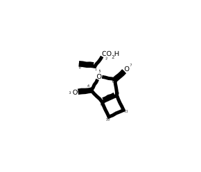 C=CC(=O)O.O=C1OC(=O)C2=C1CC2